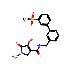 CN1CC(C(=O)NCc2cccc(-c3cccc(S(C)(=O)=O)c3)c2)=C(O)C1=O